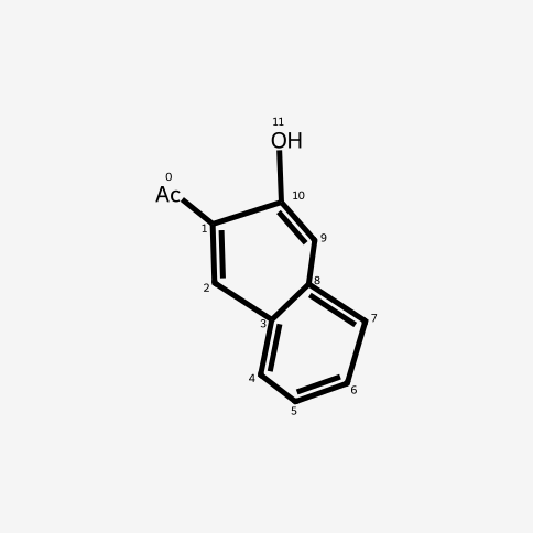 CC(=O)c1cc2ccccc2cc1O